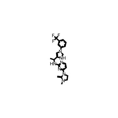 C=C1N(C)CCN1c1ccnc(NC(C)C2=CN(c3cccc(C(F)(F)F)c3)CN2)n1